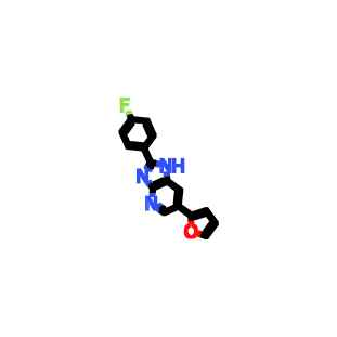 Fc1ccc(-c2nc3ncc(-c4ccco4)cc3[nH]2)cc1